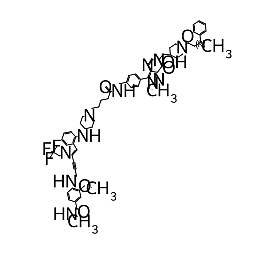 CNC(=O)c1ccc(NCC#Cc2cc3c(NC4CCN(CCCCC(=O)NCc5ccc(-c6c7ncn(CC8(O)CCN(C(=O)C[C@@H](C)c9ccccc9)CC8)c(=O)c7nn6C)cc5)CC4)cccc3n2CC(F)(F)F)c(OC)c1